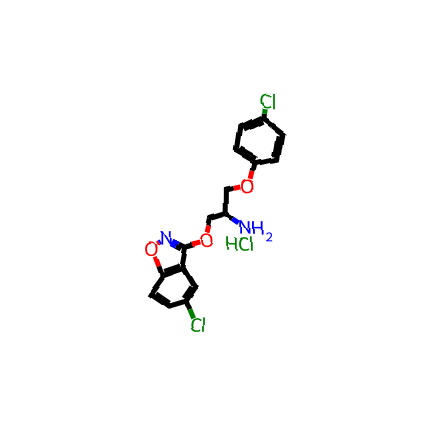 Cl.NC(COc1ccc(Cl)cc1)COc1noc2ccc(Cl)cc12